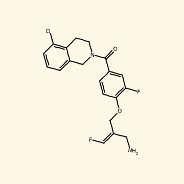 NC/C(=C/F)COc1ccc(C(=O)N2CCc3c(Cl)cccc3C2)cc1F